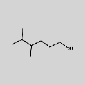 CC(C)C(C)CCCS